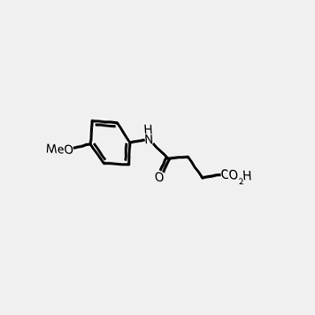 COc1ccc(NC(=O)CCC(=O)O)cc1